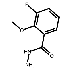 COc1c(F)cccc1C(=O)NN